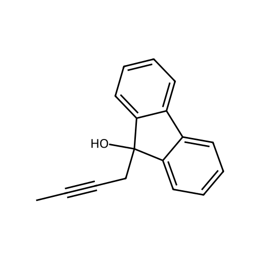 CC#CCC1(O)c2ccccc2-c2ccccc21